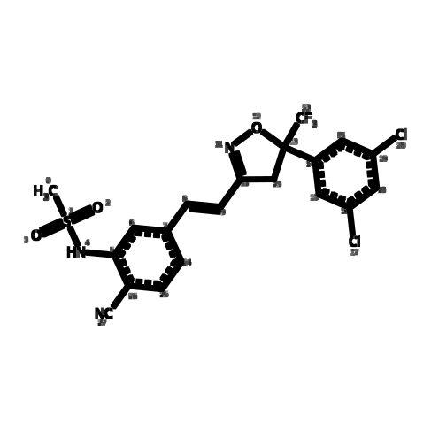 CS(=O)(=O)Nc1cc(/C=C/C2=NOC(c3cc(Cl)cc(Cl)c3)(C(F)(F)F)C2)ccc1C#N